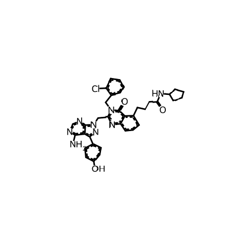 Nc1ncnc2c1c(-c1ccc(O)cc1)nn2Cc1nc2cccc(CCCC(=O)NC3CCCC3)c2c(=O)n1Cc1ccccc1Cl